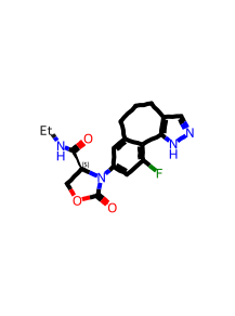 CCNC(=O)[C@@H]1COC(=O)N1c1cc(F)c2c(c1)CCCc1cn[nH]c1-2